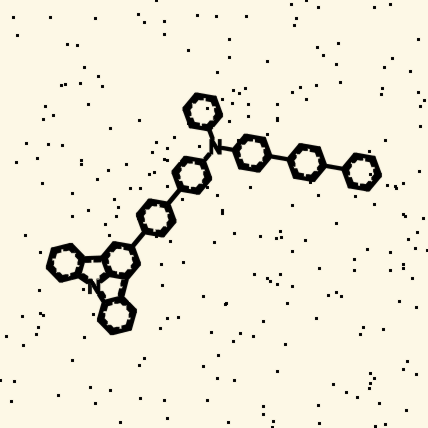 c1ccc(-c2ccc(-c3ccc(N(c4ccccc4)c4ccc(-c5ccc(-c6cc7c8ccccc8n8c9ccccc9c(c6)c78)cc5)cc4)cc3)cc2)cc1